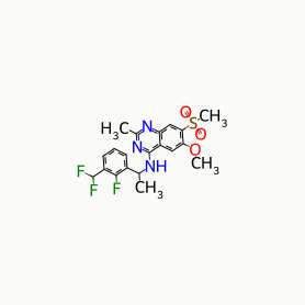 COc1cc2c(NC(C)c3cccc(C(F)F)c3F)nc(C)nc2cc1S(C)(=O)=O